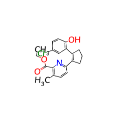 CCOC(=O)c1nc(C2=C(c3cc(Cl)ccc3O)CCC2)ccc1C